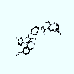 COc1ccc(F)c(C2(O)C(=O)N(C[C@H]3CC[C@H](NC(=O)c4cc(Cl)cnc4C(F)F)CC3)c3cc(F)ccc32)c1